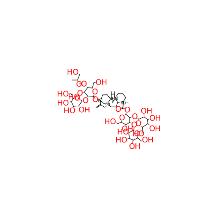 C=C1C[C@@]23CCC4[C@](C)(C(=O)OC5OC(CO)C(O)C(OC6OC(CO)C(O)C(O)C6O)C5OC5OC(CO)C(O)C(O)C5O)CCC[C@@]4(C)[C@@H]2CC[C@]1(OC1OC(CO)C(OOC(C)CO)C(OO)C1OC1OC(CO)C(O)C(O)C1O)C3